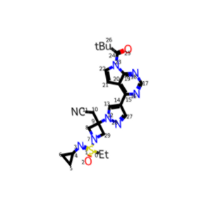 CCS(=O)(=NC1CC1)N1CC(CC#N)(n2cc(-c3ncnc4c3ccn4C(=O)C(C)(C)C)cn2)C1